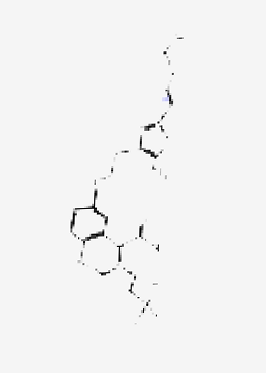 CCC/C=C/c1nc(CCOc2ccc3c(c2)C(C(=O)O)N(CCC(F)(F)F)CC3)c(C)o1